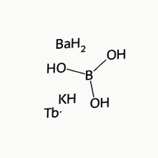 OB(O)O.[BaH2].[KH].[Tb]